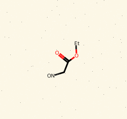 CCOC(=O)CN=O